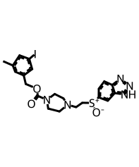 Cc1cc(I)cc(COC(=O)N2CCN(CC[S+]([O-])c3ccc4nn[nH]c4c3)CC2)c1